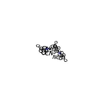 CC1=C(C#N)C(=O)N(C(=O)OCc2ccccc2)C(=O)/C1=N/c1cc2c(s1)-c1sc3cc(/N=C4/C(=O)N(C(=O)OCc5ccccc5)C(=O)C(C#N)=C4C)sc3c1C2(C(=O)OCc1ccccc1)C(=O)OCc1ccccc1